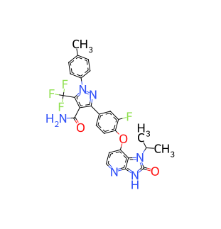 Cc1ccc(-n2nc(-c3ccc(Oc4ccnc5[nH]c(=O)n(C(C)C)c45)c(F)c3)c(C(N)=O)c2C(F)(F)F)cc1